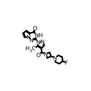 Cc1c(C(=O)N2CC(N3CCC(F)CC3)C2)cnn1-c1nn2cccc2c(=O)[nH]1